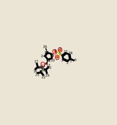 Cc1ccc(S(=O)(=O)O[C@@H]2C[C@@H](CO[Si](C(C)C)(C(C)C)C(C)C)C[C@H]2C)cc1